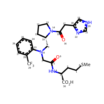 CSCC[C@H](NC(=O)CN(C[C@@H]1CCCN1C(=O)Cc1c[nH]cn1)c1ccccc1C(F)(F)F)C(=O)O